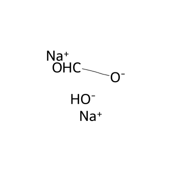 O=C[O-].[Na+].[Na+].[OH-]